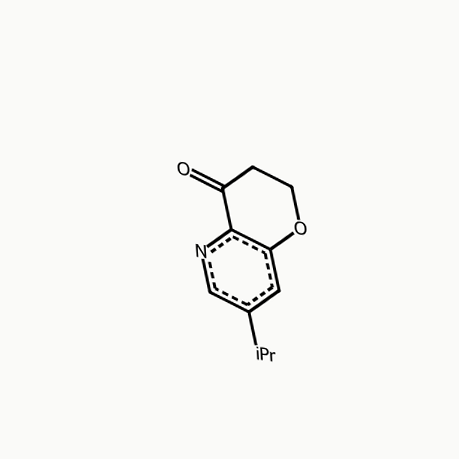 CC(C)c1cnc2c(c1)OCCC2=O